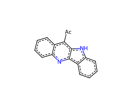 CC(=O)c1c2ccccc2nc2c1[nH]c1ccccc12